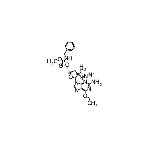 CCOc1nc(N)nc2c1ncn2C1O[C@H](COP(=O)(NCc2ccccc2)OC)C[C@@]1(C)N=[N+]=[N-]